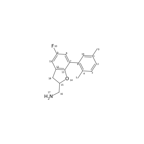 Cc1ccc(C)c(-c2cc(F)cc3c2OC(CN)C3)c1